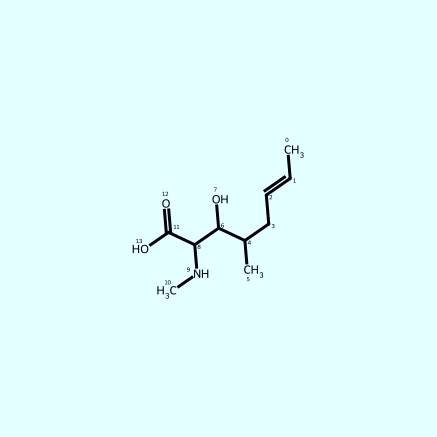 CC=CCC(C)C(O)C(NC)C(=O)O